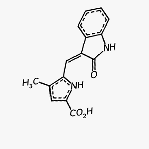 Cc1cc(C(=O)O)[nH]c1/C=C1\C(=O)Nc2ccccc21